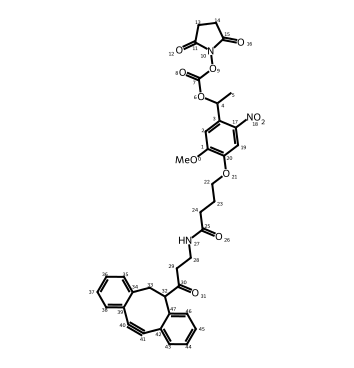 COc1cc(C(C)OC(=O)ON2C(=O)CCC2=O)c([N+](=O)[O-])cc1OCCCC(=O)NCCC(=O)C1Cc2ccccc2C#Cc2ccccc21